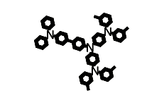 Cc1cccc(N(c2ccc(N(c3ccc(-c4ccc(N(c5ccccc5)c5ccccc5)cc4)cc3)c3ccc(N(c4cccc(C)c4)c4cccc(C)c4)cc3)cc2)c2cccc(C)c2)c1